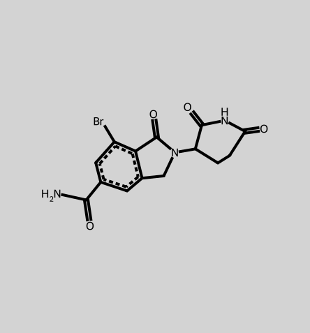 NC(=O)c1cc(Br)c2c(c1)CN(C1CCC(=O)NC1=O)C2=O